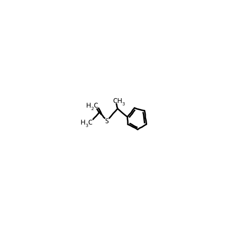 C=C(C)SC(C)c1ccccc1